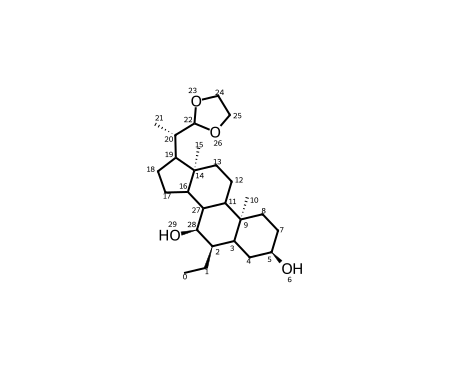 CC[C@@H]1C2C[C@H](O)CC[C@]2(C)C2CC[C@@]3(C)C(CCC3[C@H](C)C3OCCO3)C2[C@@H]1O